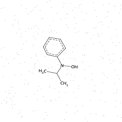 CC(C)N(O)c1ccccc1